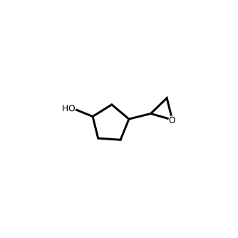 OC1CCC(C2CO2)C1